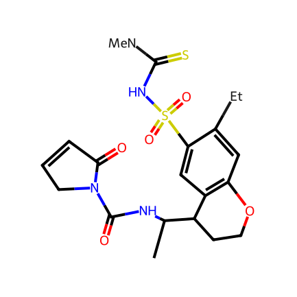 CCc1cc2c(cc1S(=O)(=O)NC(=S)NC)C(C(C)NC(=O)N1CC=CC1=O)CCO2